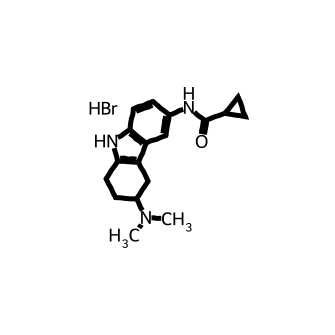 Br.CN(C)C1CCc2[nH]c3ccc(NC(=O)C4CC4)cc3c2C1